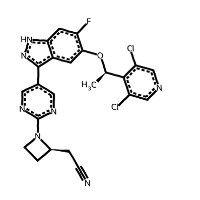 C[C@@H](Oc1cc2c(-c3cnc(N4CC[C@@H]4CC#N)nc3)n[nH]c2cc1F)c1c(Cl)cncc1Cl